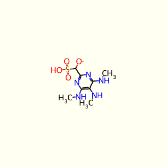 CNc1nc(C([O])S(=O)(=O)O)nc(NC)c1NC